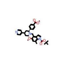 COC(=O)c1ccc([C@@H]2CC(c3ccncc3)CCN2Cc2c(OC)cc(C)c3c2ccn3C(=O)OC(C)(C)C)cc1